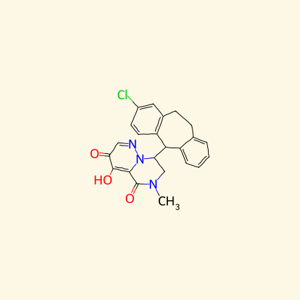 CN1CC(C2c3ccccc3CCc3cc(Cl)ccc32)n2ncc(=O)c(O)c2C1=O